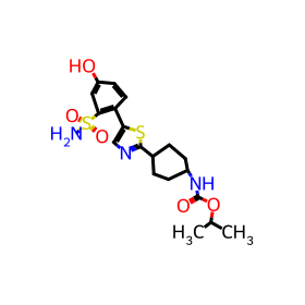 CC(C)OC(=O)NC1CCC(c2ncc(-c3ccc(O)cc3S(N)(=O)=O)s2)CC1